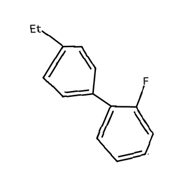 CCc1ccc(-c2cc[c]cc2F)cc1